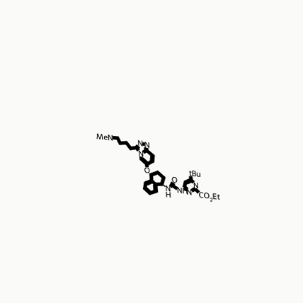 CCOC(=O)c1nc(NC(=O)N[C@H]2CC[C@@H](Oc3ccc4nnc(CCCCNC)n4c3)c3ccccc32)cc(C(C)(C)C)n1